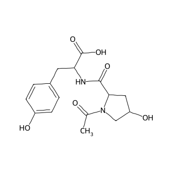 CC(=O)N1CC(O)CC1C(=O)NC(Cc1ccc(O)cc1)C(=O)O